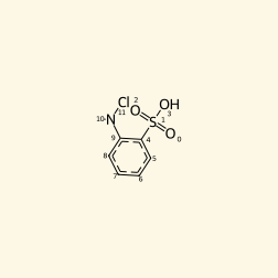 O=S(=O)(O)c1ccccc1[N]Cl